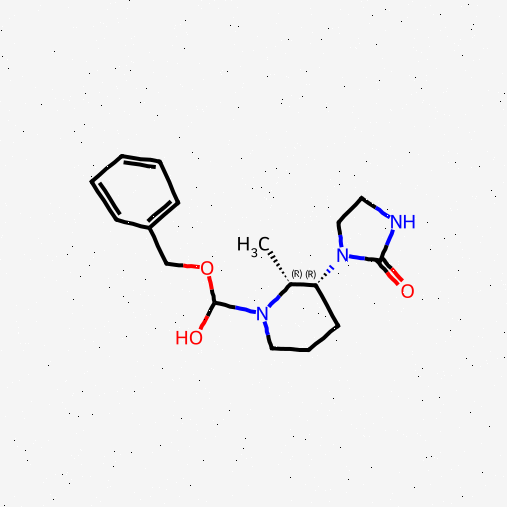 C[C@@H]1[C@H](N2CCNC2=O)CCCN1C(O)OCc1ccccc1